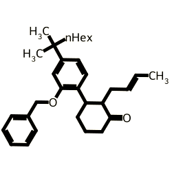 CC=CCC1C(=O)CCCC1c1ccc(C(C)(C)CCCCCC)cc1OCc1ccccc1